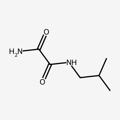 CC(C)CNC(=O)C(N)=O